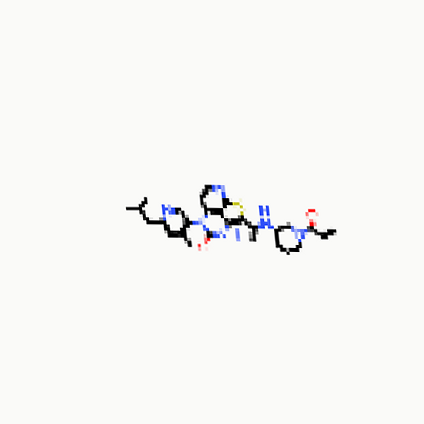 C=CC(=O)N1CCC[C@@H](NC(=C)c2sc3nccc4c3c2NC(=O)N4c2cnc(CC(C)C)cc2C)C1